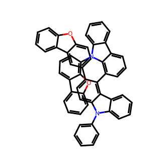 c1ccc(-n2c3ccccc3c3c(-c4cccc5c6ccccc6n(-c6cccc7c6oc6ccccc67)c45)c(-c4ccc5oc6ccccc6c5c4)ccc32)cc1